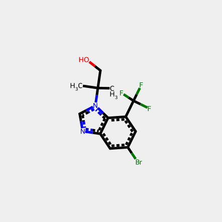 CC(C)(CO)n1cnc2cc(Br)cc(C(F)(F)F)c21